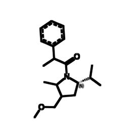 COCC1C[C@@H](C(C)C)N(C(=O)C(C)c2ccccc2)C1C